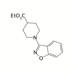 CCOC(=O)C1CCN(c2noc3ccccc23)CC1